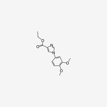 CCOC(=O)c1cn(-c2ccc(OC)c(OC)c2)cn1